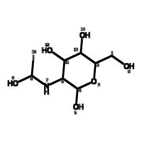 OCC1OC(O)C(NC(O)I)C(O)C1O